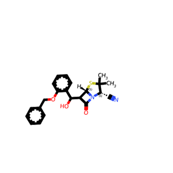 CC1(C)S[C@H]2C(C(O)c3ccccc3OCc3ccccc3)C(=O)N2[C@H]1C#N